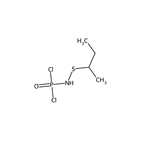 CCC(C)SNP(=O)(Cl)Cl